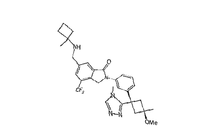 CO[C@]1(C)C[C@@](c2cccc(N3Cc4c(cc(CNC5(C)CCC5)cc4C(F)(F)F)C3=O)c2)(c2nncn2C)C1